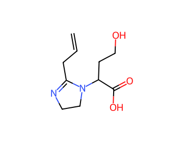 C=CCC1=NCCN1C(CCO)C(=O)O